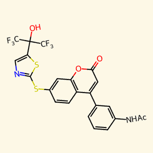 CC(=O)Nc1cccc(-c2cc(=O)oc3cc(Sc4ncc(C(O)(C(F)(F)F)C(F)(F)F)s4)ccc23)c1